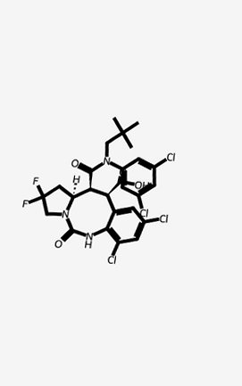 CC(C)(C)CN(C(=O)[C@H]1[C@@H](C(=O)O)c2cc(Cl)cc(Cl)c2NC(=O)N2CC(F)(F)C[C@@H]12)c1cc(Cl)cc(Cl)c1